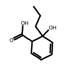 CCCC1(O)C=CC=CC1C(=O)O